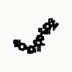 C[C@@H](NC(=O)c1cc(N2CCC(=NO)CC2)ncn1)c1ncc(C(=O)Nc2cc(C(F)(F)F)c(Cl)cn2)s1